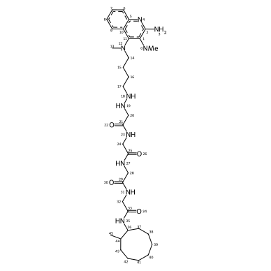 CNc1c(N)nc2ccccc2c1N(C)CCCCNNCC(=O)NCC(=O)NCC(=O)NCC(=O)NC1CCCCCCCC1C